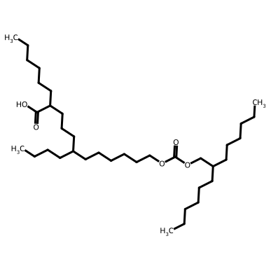 CCCCCCC(CCCCCC)COC(=O)OCCCCCCC(CCCC)CCCC(CCCCCC)C(=O)O